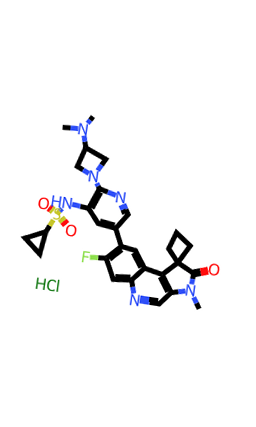 CN1C(=O)C2(CCC2)c2c1cnc1cc(F)c(-c3cnc(N4CC(N(C)C)C4)c(NS(=O)(=O)C4CC4)c3)cc21.Cl